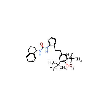 CC(C)(C)c1cc(CCc2ccccc2NC(=O)NC2CCCc3ccccc32)cc(C(C)(C)C)c1O